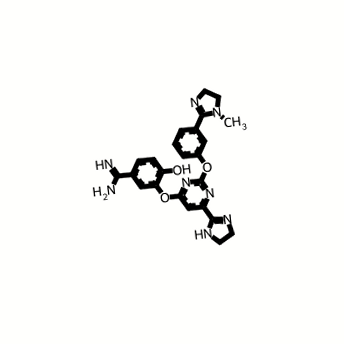 CN1CCN=C1c1cccc(Oc2nc(Oc3cc(C(=N)N)ccc3O)cc(C3=NCCN3)n2)c1